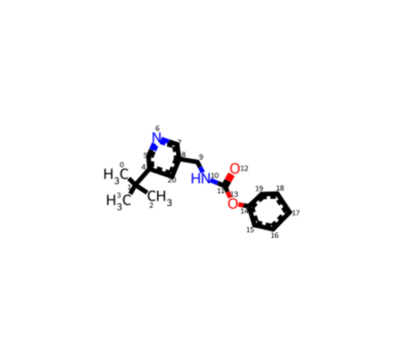 CC(C)(C)c1cncc(CNC(=O)Oc2ccccc2)c1